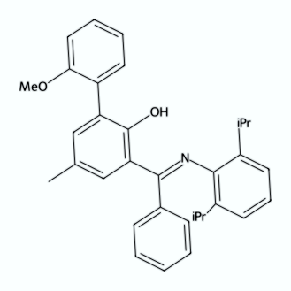 COc1ccccc1-c1cc(C)cc(C(=Nc2c(C(C)C)cccc2C(C)C)c2ccccc2)c1O